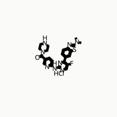 CN(C)c1nc2ccc(-c3nc(Nc4ccc(C(=O)N5CCNCC5)cn4)ncc3F)cc2s1.Cl